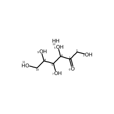 O=C(CO)C(O)C(O)C(O)CO.[HH]